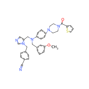 COc1cccc(CN(Cc2cncn2Cc2ccc(C#N)cc2)c2ccc(N3CCN(C(=O)c4cccs4)CC3)cc2)c1